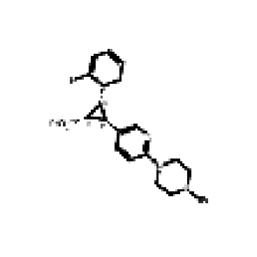 CCOC(=O)[C@H]1[C@H](c2ccc(N3CCN(C(C)C)CC3)nc2)[C@H]1C1CC=CC=C1F